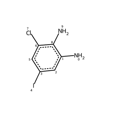 Nc1cc(I)cc(Cl)c1N